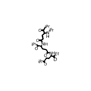 CCC(=O)C(CCC(=O)C(C)C)NC(=O)CCC(NC(=O)CCC(NC(C)C)C(=O)C(C)C)C(=O)C(C)C